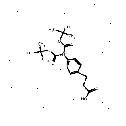 CC(C)(C)OC(=O)N(C(=O)OC(C)(C)C)c1ccc(CCC(=O)O)cn1